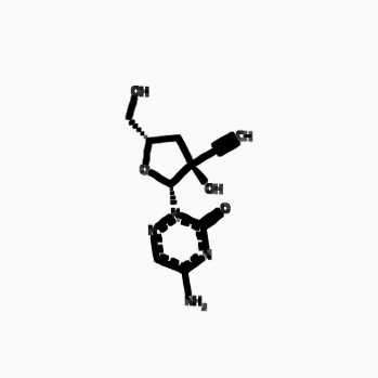 C#C[C@@]1(O)C[C@@H](CO)O[C@H]1n1ncc(N)nc1=O